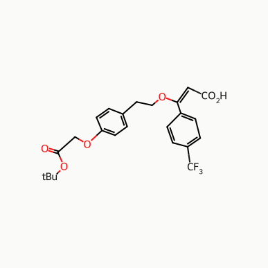 CC(C)(C)OC(=O)COc1ccc(CCOC(=CC(=O)O)c2ccc(C(F)(F)F)cc2)cc1